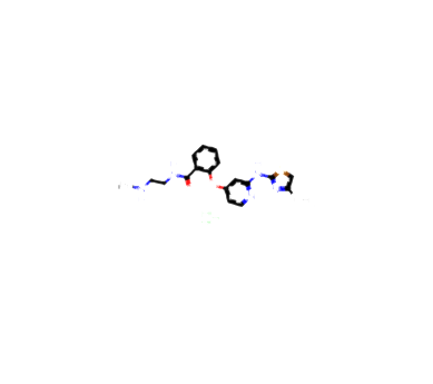 Cc1csc(Nc2cc(Oc3ccccc3C(=O)NCCNC(C)C)ccn2)n1.Cl.Cl